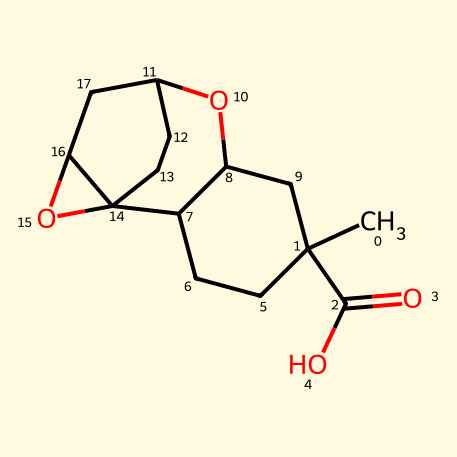 CC1(C(=O)O)CCC2C(C1)OC1CCC23OC3C1